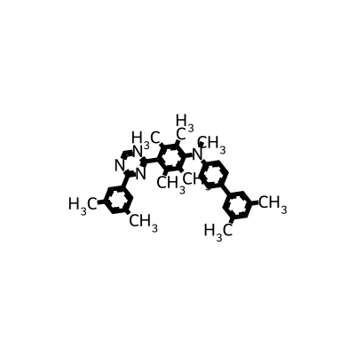 Cc1cc(C)cc(-c2ccc(N(C)c3c(C)c(C)c(-c4ncnc(-c5cc(C)cc(C)c5)n4)c(C)c3C)cc2)c1